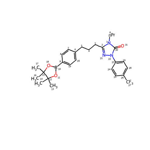 CCCn1c(CCCc2ccc(B3OC(C)(C)C(C)(C)O3)cc2)nn(-c2ccc(C(F)(F)F)cc2)c1=O